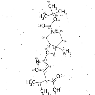 CC(C)C(C(=O)O)c1cc(OCC2(C)CCN(C(=O)OC(C)(C)C)CC2)no1